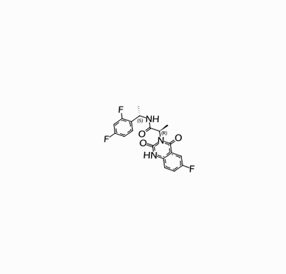 C[C@H](NC(=O)[C@@H](C)n1c(=O)[nH]c2ccc(F)cc2c1=O)c1ccc(F)cc1F